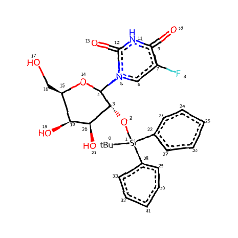 CC(C)(C)[Si](O[C@H]1C(n2cc(F)c(=O)[nH]c2=O)O[C@H](CO)[C@H](O)[C@@H]1O)(c1ccccc1)c1ccccc1